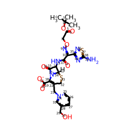 CC(C)(C)OC(=O)CON=C(C(=O)NC1C(=O)N2C(C(=O)[O-])=C(C[n+]3cccc(CO)c3)CS[C@@H]12)c1nsc(N)n1